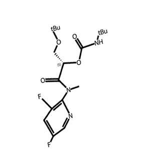 CN(C(=O)[C@H](COC(C)(C)C)OC(=O)NC(C)(C)C)c1ncc(F)cc1F